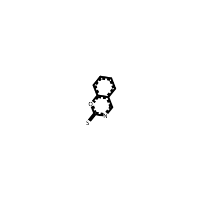 S=c1ncc2ccccc2o1